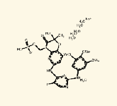 COc1cc(Nc2ncc(F)c(Nc3ccc4c(n3)N(COP(=O)([O-])O)C(=O)C(C)(C)O4)n2)cc(OC)c1OC.O.O.O.O.O.O.[Na+]